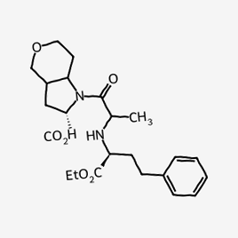 CCOC(=O)[C@H](CCc1ccccc1)NC(C)C(=O)N1C2CCOCC2C[C@H]1C(=O)O